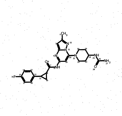 Cc1cc2nc(NC(=O)C3CC3c3ccc(F)cc3)cc(N3CCC(NC(N)=O)CC3)n2n1